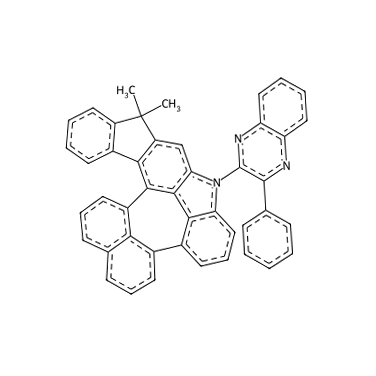 CC1(C)c2ccccc2-c2c1cc1c3c2-c2cccc4cccc(c24)-c2cccc(c23)n1-c1nc2ccccc2nc1-c1ccccc1